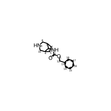 O=C(NC1C2CCC1CNC2)OCc1ccccc1